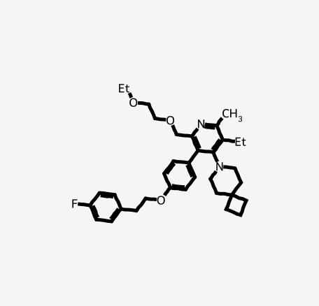 CCOCCOCc1nc(C)c(CC)c(N2CCC3(CCC3)CC2)c1-c1ccc(OCCc2ccc(F)cc2)cc1